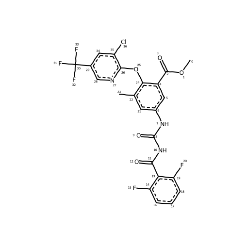 COC(=O)c1cc(NC(=O)NC(=O)c2c(F)cccc2F)cc(C)c1Oc1ncc(C(F)(F)F)cc1Cl